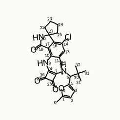 Cc1ccc(C(Nc2c(Nc3c(F)cc(Cl)c4c3C(=O)NC43CCCC3)c(=O)c2=O)C(C)(C)C)o1